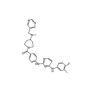 Cc1cc(Nc2ccnc(Nc3ccc(C(=O)N4CCC(N(C)Cc5cncnc5)CC4)cc3)n2)ccc1F